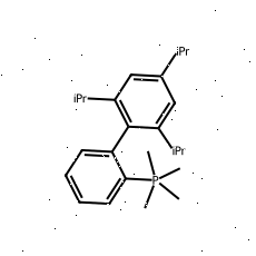 CC(C)c1cc(C(C)C)c(-c2ccccc2P(C)(C)(C)C)c(C(C)C)c1